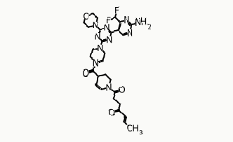 C/C=C/C(=O)CCC(=O)N1CCC(C(=O)N2CCN(c3nc(-c4cnc(N)nc4C(F)F)nc(N4CCOCC4)n3)CC2)CC1